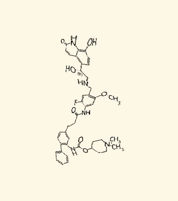 COc1cc(NC(=O)CCc2ccc(-c3ccccc3)c(NC(=O)OC3CC[N+](C)(C)CC3)c2)c(F)cc1CNC[C@H](O)c1ccc(O)c2[nH]c(=O)ccc12